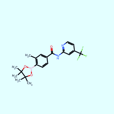 Cc1cc(C(=O)Nc2cc(C(F)(F)F)ccn2)ccc1B1OC(C)(C)C(C)(C)O1